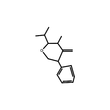 C=C1C(c2ccccc2)COC(C(C)C)C1C